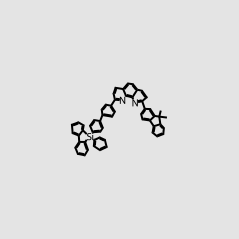 CC1(C)c2ccccc2-c2ccc(-c3ccc4ccc5ccc(-c6ccc(-c7ccc([Si]8(c9ccccc9)c9ccccc9-c9ccccc98)cc7)cc6)nc5c4n3)cc21